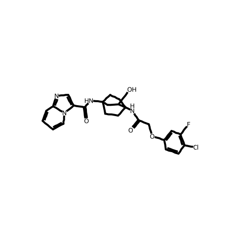 O=C(COc1ccc(Cl)c(F)c1)NC12CCC(NC(=O)c3cnc4ccccn34)(CC1)CC2O